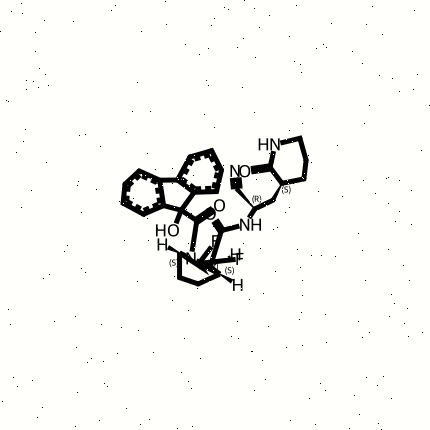 N#C[C@@H](C[C@@H]1CCCNC1=O)NC(=O)[C@H]1[C@@H]2CC[C@@H](CC2(F)F)N1C(=O)C1(O)c2ccccc2-c2ccccc21